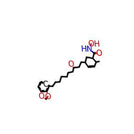 CC1C=CC(CCC(=O)CCCCCCCc2cccc3c2OCO3)CC1C(=O)NO